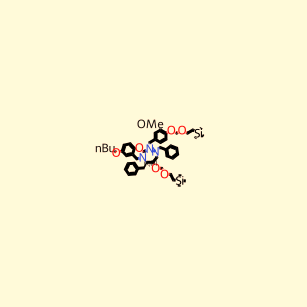 CCCCOc1cccc(CN2C(=O)N(Cc3ccc(OCOCC[Si](C)(C)C)c(OC)c3)N(Cc3ccccc3)C[C@@H](OCOCC[Si](C)(C)C)[C@H]2Cc2ccccc2)c1